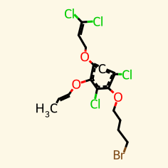 CC=COc1c(OCC=C(Cl)Cl)cc(Cl)c(OCCCCBr)c1Cl